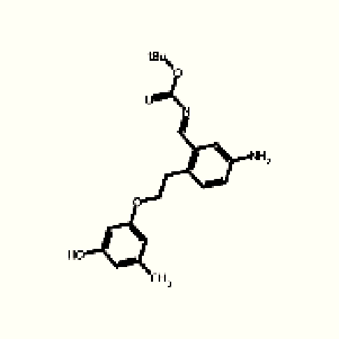 Cc1cc(O)cc(OCCc2ccc(N)cc2/C=N/C(=O)OC(C)(C)C)c1